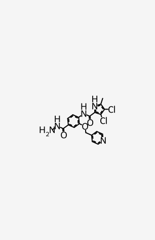 Cc1[nH]c(C(=O)Nc2ccc(C(=O)NN)cc2OCc2ccncc2)c(Cl)c1Cl